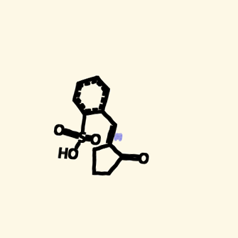 O=C1CCC/C1=C\c1ccccc1S(=O)(=O)O